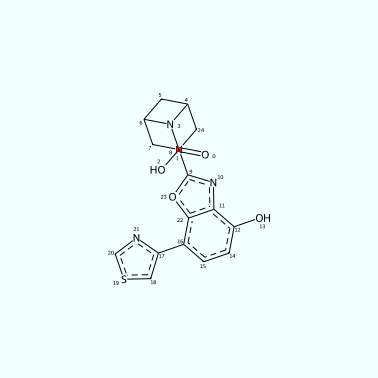 O=C(O)N1C2CC1CN(c1nc3c(O)ccc(-c4cscn4)c3o1)C2